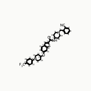 N#Cc1ccccc1CN1CCC(NC(=O)c2cc3ccc(OC4CCN(c5ccc(C(F)(F)F)cc5)CC4)cc3s2)CC1